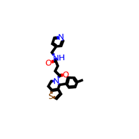 Cc1ccc(C2c3ccsc3CCN2C(=O)CCC(=O)NCc2ccncc2)cc1